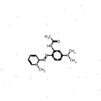 CC(=O)Nc1cc(N(C)C)ccc1/N=N/C1C=CC=CN1C